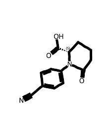 N#Cc1ccc(N2C(=O)CCC[C@H]2C(=O)O)cc1